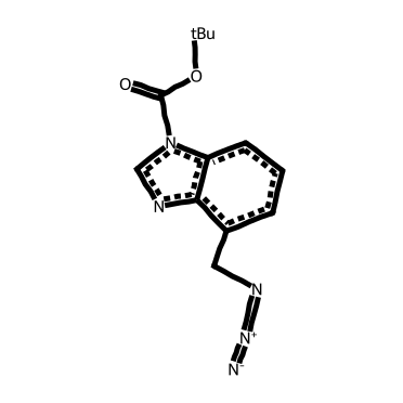 CC(C)(C)OC(=O)n1cnc2c(CN=[N+]=[N-])cccc21